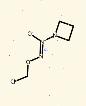 [O-]/[N+](=N\OCCl)N1CCC1